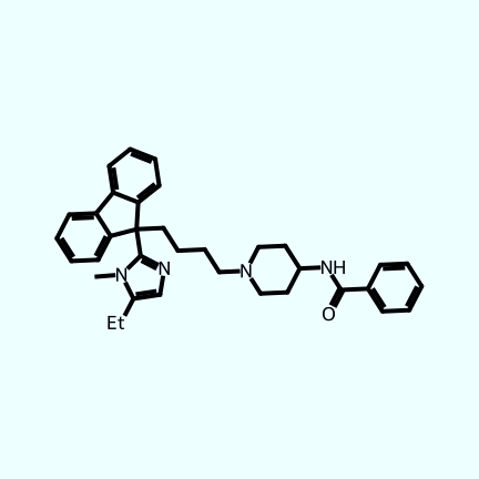 CCc1cnc(C2(CCCCN3CCC(NC(=O)c4ccccc4)CC3)c3ccccc3-c3ccccc32)n1C